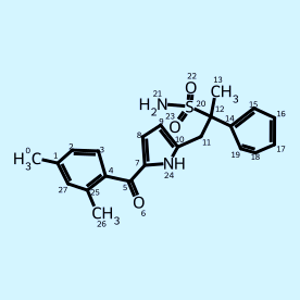 Cc1ccc(C(=O)c2ccc(CC(C)(c3ccccc3)S(N)(=O)=O)[nH]2)c(C)c1